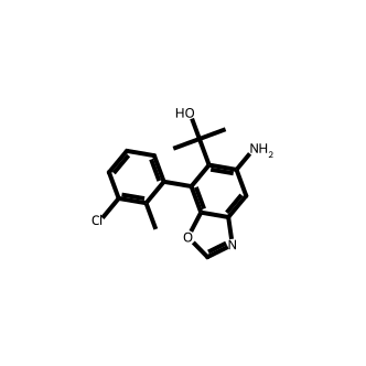 Cc1c(Cl)cccc1-c1c(C(C)(C)O)c(N)cc2ncoc12